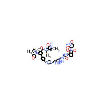 CCN(c1cc(-c2ccc(CN3CCN(CCCC/C(=C/NCC(=O)Nc4cccc5c4C(=O)N(C4CCC(=O)NC4=O)C5=O)N=N)CC3)cc2)cc(C(=O)NCc2c(C)cc(C)[nH]c2=O)c1C)C1CCOCC1